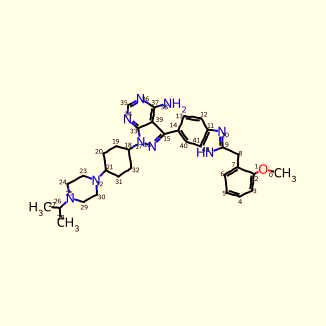 COc1ccccc1Cc1nc2ccc(-c3nn(C4CCC(N5CCN(C(C)C)CC5)CC4)c4ncnc(N)c34)cc2[nH]1